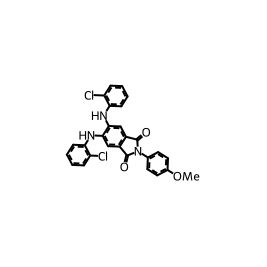 COc1ccc(N2C(=O)c3cc(Nc4ccccc4Cl)c(Nc4ccccc4Cl)cc3C2=O)cc1